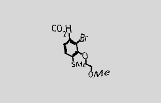 COCCOc1c(SC)ccc(C(=O)O)c1Br